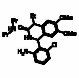 CC(C)NC(C)C.CCC1C(=O)NC(c2c(N)cccc2Cl)c2cc(OC)c(OC)cc21